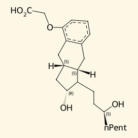 CCCCC[C@H](O)CCC1[C@H](O)C[C@@H]2Cc3c(cccc3OCC(=O)O)C[C@H]12